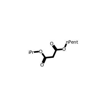 CCCCCOC(=O)CC(=O)OC(C)C